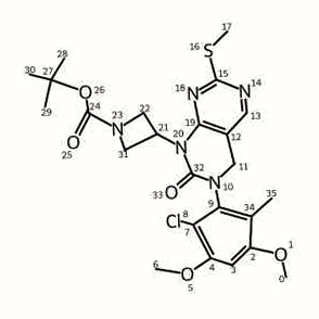 COc1cc(OC)c(Cl)c(N2Cc3cnc(SC)nc3N(C3CN(C(=O)OC(C)(C)C)C3)C2=O)c1C